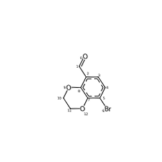 O=Cc1ccc(Br)c2c1OCCO2